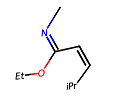 CCOC(/C=C\C(C)C)=N/C